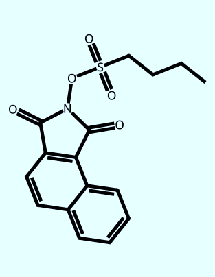 CCCCS(=O)(=O)ON1C(=O)c2ccc3ccccc3c2C1=O